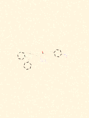 C[C@@H](O[Si](c1ccccc1)(c1ccccc1)C(C)(C)C)[C@H](N)C(=O)OCc1ccc([N+](=O)[O-])cc1